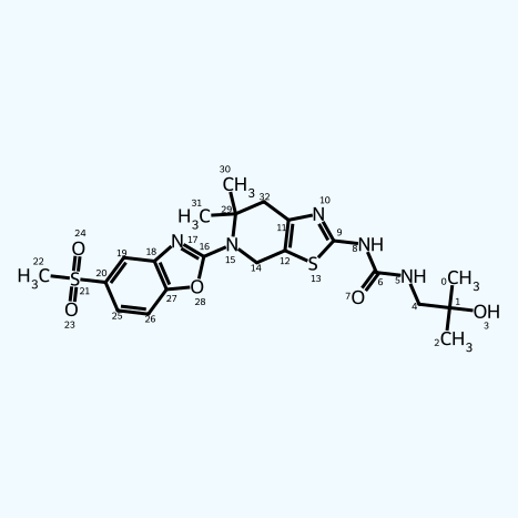 CC(C)(O)CNC(=O)Nc1nc2c(s1)CN(c1nc3cc(S(C)(=O)=O)ccc3o1)C(C)(C)C2